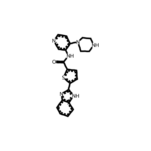 O=C(Nc1cnccc1N1CCNCC1)c1ccc(-c2nc3ccccc3[nH]2)s1